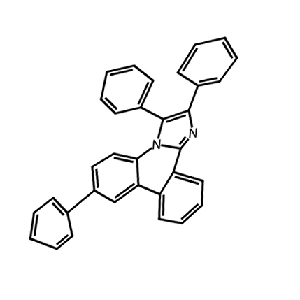 c1ccc(-c2ccc3c(c2)c2ccccc2c2nc(-c4ccccc4)c(-c4ccccc4)n32)cc1